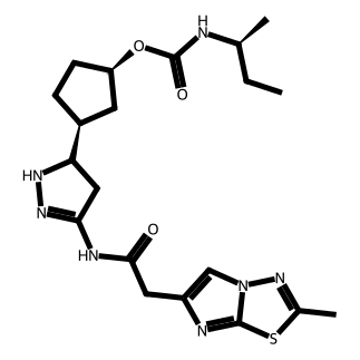 CC[C@H](C)NC(=O)O[C@@H]1CC[C@H](C2CC(NC(=O)Cc3cn4nc(C)sc4n3)=NN2)C1